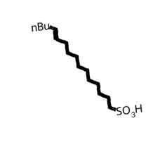 CCCCC=CCCCCCCCCCCS(=O)(=O)O